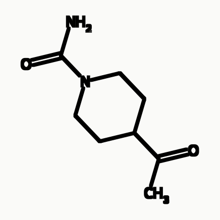 CC(=O)C1CCN(C(N)=O)CC1